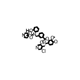 COc1ccc([C@H](Cc2c(Cl)cncc2Cl)OC(=O)c2cccc(CN(C(=O)O[C@H]3CN4CCC3CC4)c3ccccc3O)c2)cc1OC